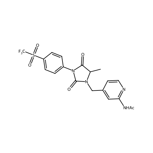 CC(=O)Nc1cc(CN2C(=O)N(c3ccc(S(=O)(=O)C(F)(F)F)cc3)C(=O)C2C)ccn1